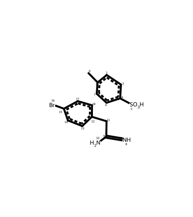 Cc1ccc(S(=O)(=O)O)cc1.N=C(N)Cc1ccc(Br)cc1